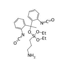 CCO[Si](CCCN)(OCC)OC(C)(c1ccccc1N=C=O)c1ccccc1N=C=O